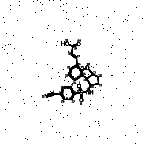 N#Cc1ccc(S(=O)(=O)NC2CCC3Oc4c(C=CC(=O)O)cccc4C23)cc1